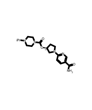 CC(C)N1CCN(C(=O)O[C@H]2CCN(c3ccc(C(N)=O)cn3)C2)CC1